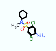 CN(C1CCCCC1)S(=O)(=O)c1cc(Cl)c(N)cc1Cl